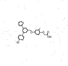 COc1ccc(-c2cc(COc3ccc(OCC(=O)O)c(C)c3)cc(-c3cccs3)c2)cc1